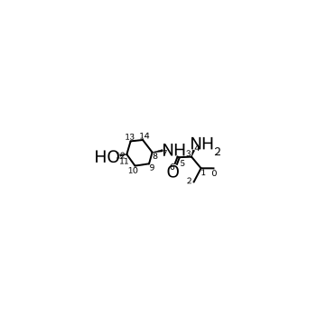 CC(C)[C@H](N)C(=O)N[C@H]1CC[C@@H](O)CC1